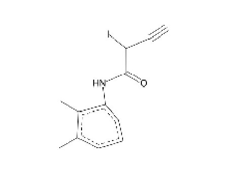 C#CC(I)C(=O)Nc1cccc(C)c1C